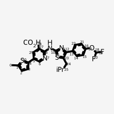 Cc1ccc(-c2cnc(Nc3nc(-c4ccc(OC(F)F)cc4)c(CC(C)C)s3)c(C(=O)O)c2)s1